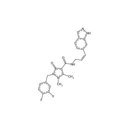 Cc1c(C(=O)NC/C=C\c2ccc3cn[nH]c3c2)c(=O)n(Cc2ccc(F)c(F)c2)n1C